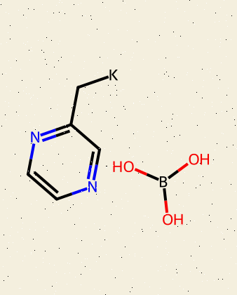 OB(O)O.[K][CH2]c1cnccn1